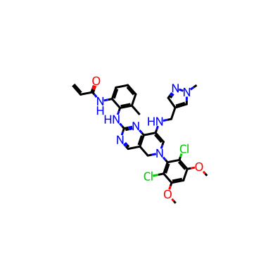 C=CC(=O)Nc1cccc(C)c1Nc1ncc2c(n1)C(NCc1cnn(C)c1)=CN(c1c(Cl)c(OC)cc(OC)c1Cl)C2